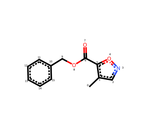 Cc1cnoc1C(=O)OCc1ccccc1